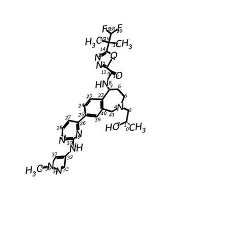 C[C@H](O)CN1CC[C@H](NC(=O)c2nnc(C(C)(C)C(F)F)o2)c2ccc(-c3ccnc(Nc4cnn(C)c4)n3)cc2C1